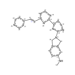 CNc1ccc2c(c1)CN(c1nccc(-c3nccc(/C=C/c4ccncc4)n3)n1)C2